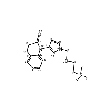 C[Si](C)(C)CCOCn1ccc(N2C(=O)CCc3ccccc32)n1